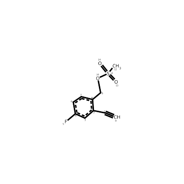 C#Cc1cc(F)ccc1COS(C)(=O)=O